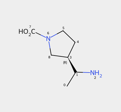 CC(N)[C@@H]1CCN(C(=O)O)C1